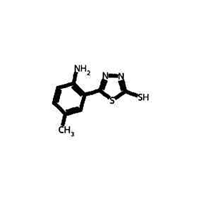 Cc1ccc(N)c(-c2nnc(S)s2)c1